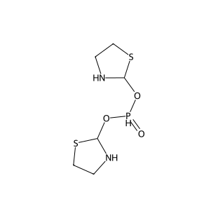 O=[PH](OC1NCCS1)OC1NCCS1